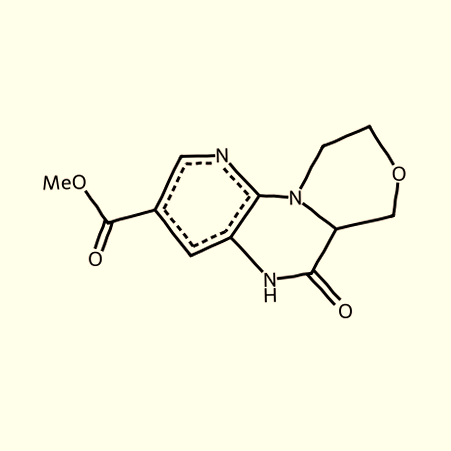 COC(=O)c1cnc2c(c1)NC(=O)C1COCCN21